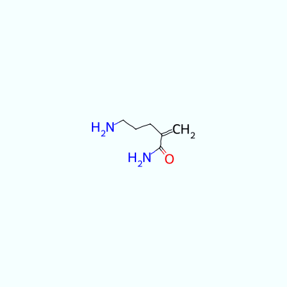 C=C(CCCN)C(N)=O